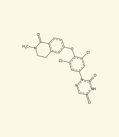 CN1CCc2cc(Oc3c(Cl)cc(-n4ncc(=O)[nH]c4=O)cc3Cl)ccc2C1=O